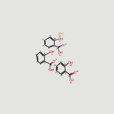 O=C(O)c1ccccc1O.O=C(O)c1ccccc1O.O=C(O)c1ccccc1O.P